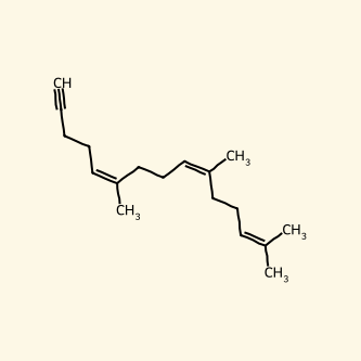 C#CCCC=C(C)CCC=C(C)CCC=C(C)C